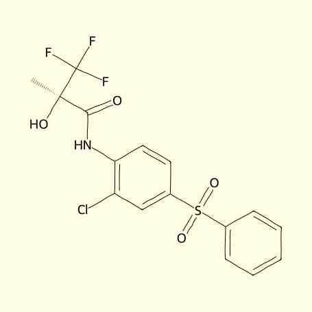 C[C@@](O)(C(=O)Nc1ccc(S(=O)(=O)c2ccccc2)cc1Cl)C(F)(F)F